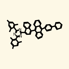 Cc1cc(C)c(-c2nc(-c3c(C)cc(C)cc3C)nc(-c3ccc(-c4c5ccccc5c(-c5ccc(-c6ccccc6)cc5)c5ccccc45)c4ccccc34)n2)c(C)c1